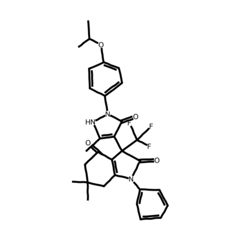 Cc1[nH]n(-c2ccc(OC(C)C)cc2)c(=O)c1C1(C(F)(F)F)C(=O)N(c2ccccc2)C2=C1C(=O)CC(C)(C)C2